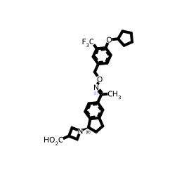 C/C(=N\OCc1ccc(OC2CCCC2)c(C(F)(F)F)c1)c1ccc2c(c1)CC[C@H]2N1CC(C(=O)O)C1